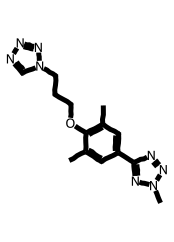 Cc1cc(-c2nnn(C)n2)cc(C)c1OCCCn1cnnn1